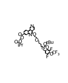 CC(C)C(=O)OCOC(=O)c1ccc2c(c1)nc(OCCOCCCCN(Cc1cc(F)c(OC(F)(F)F)c(F)c1)C(=O)OC(C)(C)C)c1ccncc12